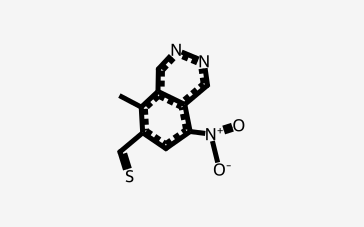 Cc1c(C=S)cc([N+](=O)[O-])c2cnncc12